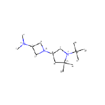 CN(C)C1CN(C2CN(C(C)(C)C)C(C)(C)C2)C1